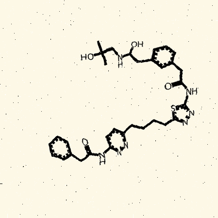 CC(C)(O)CNC(O)Cc1cccc(CC(=O)Nc2nnc(CCCCc3ccc(NC(=O)Cc4ccccc4)nn3)s2)c1